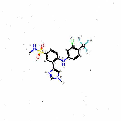 CNS(=O)(=O)c1ccc(Nc2ccc(C(F)(F)F)c(Cl)c2)c(-c2cn(C)cn2)c1